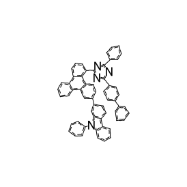 c1ccc(-c2ccc(-c3nc(-c4ccccc4)nc(-c4cccc5c6ccccc6c6cc(-c7ccc8c9ccccc9n(-c9ccccc9)c8c7)ccc6c45)n3)cc2)cc1